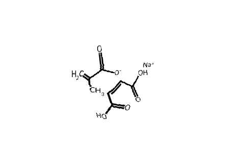 C=C(C)C(=O)[O-].O=C(O)/C=C\C(=O)O.[Na+]